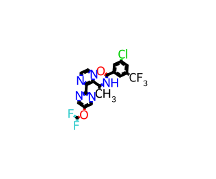 CC(NC(=O)c1cc(Cl)cc(C(F)(F)F)c1)c1nccnc1-c1ncc(OC(F)F)cn1